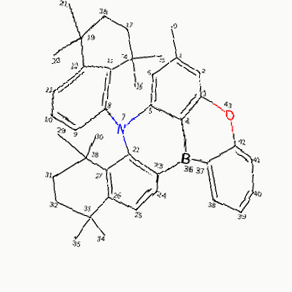 Cc1cc2c3c(c1)N(c1cccc4c1C(C)(C)CCC4(C)C)c1c(ccc4c1C(C)(C)CCC4(C)C)B3c1ccccc1O2